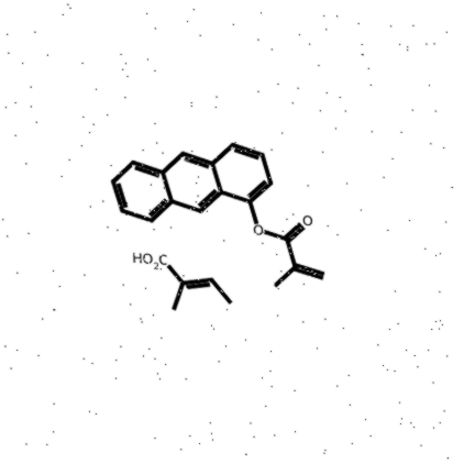 C=C(C)C(=O)Oc1cccc2cc3ccccc3cc12.CC=C(C)C(=O)O